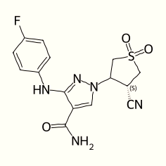 N#C[C@H]1CS(=O)(=O)CC1n1cc(C(N)=O)c(Nc2ccc(F)cc2)n1